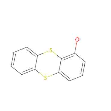 [O]c1cccc2c1Sc1ccccc1S2